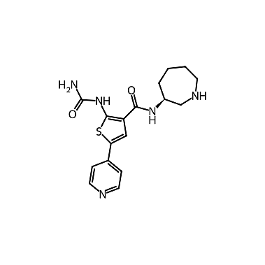 NC(=O)Nc1sc(-c2ccncc2)cc1C(=O)N[C@H]1CCCCNC1